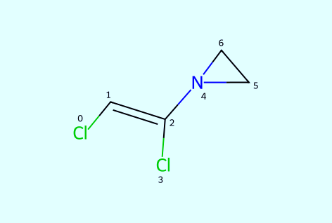 ClC=C(Cl)N1CC1